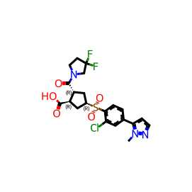 Cn1nccc1-c1ccc(S(=O)(=O)[C@H]2C[C@@H](C(=O)O)[C@H](C(=O)N3CCC(F)(F)C3)C2)c(Cl)c1